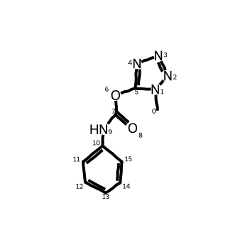 Cn1nnnc1OC(=O)Nc1ccccc1